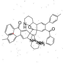 Cc1ccc(C2=CC(C3CCCNC3)C(CCN)(C(=O)C3(CCN)C=C(C(=O)c4ccccc4)C(c4ccc(C)cc4)=CC3C3CCCNC3)C=C2C(=O)c2ccccc2)cc1